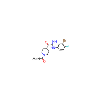 CNC(=O)N1CCC(C(=O)C(=N)Nc2ccc(F)c(Br)c2)CC1